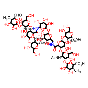 CO[C@@H]1OC(CO)[C@@H](O)[C@H](OC2OC(C(=O)NC3O[C@H](O[C@H]4OC(CNC(=O)C5O[C@@H](O[C@@H]6C(NC(C)=O)[C@H](OC)OC(CO)[C@H]6O)C(O)[C@@H](O)[C@@H]5O[C@@H]5OC(CO)[C@@H](O)[C@H](O[C@@H]6OC(C(=O)O)[C@@H](C)[C@H](O)C6O)C5NC(C)=O)[C@@H](O)[C@H](O)C4O)C(O)[C@@H](O)[C@@H]3O)[C@@H](O[C@@H]3OC(CO)[C@@H](O)[C@H](O[C@@H]4OC(C=O)[C@@H](C)[C@H](O)C4O)C3NC(C)=O)[C@H](O)[C@@H]2O)C1NC(C)=O